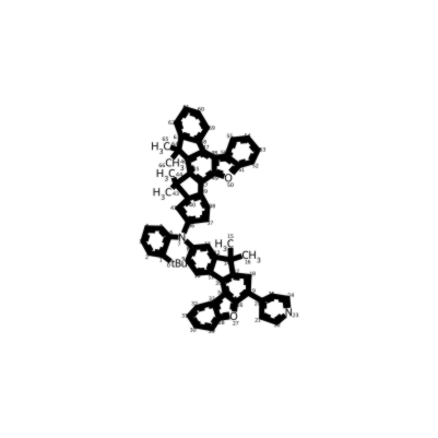 CC(C)(C)c1ccccc1N(c1ccc2c(c1)C(C)(C)c1cc(-c3ccncc3)c3oc4ccccc4c3c1-2)c1ccc2c(c1)C(C)(C)c1c3c(c4c(oc5ccccc54)c1-2)-c1ccccc1C3(C)C